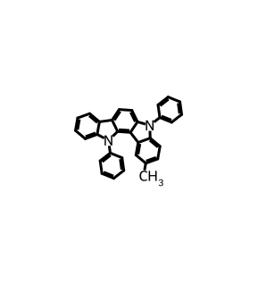 Cc1ccc2c(c1)c1c(ccc3c4ccccc4n(-c4ccccc4)c31)n2-c1ccccc1